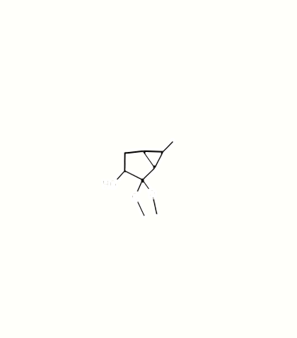 COC1(OC)C(O)CC2C(C)C21